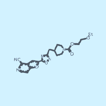 CCOCCOC(=O)N1CCC(Cc2noc(-c3cc4c(C#N)nccc4o3)n2)CC1